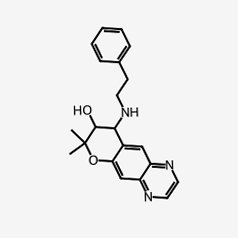 CC1(C)Oc2cc3nccnc3cc2C(NCCc2ccccc2)C1O